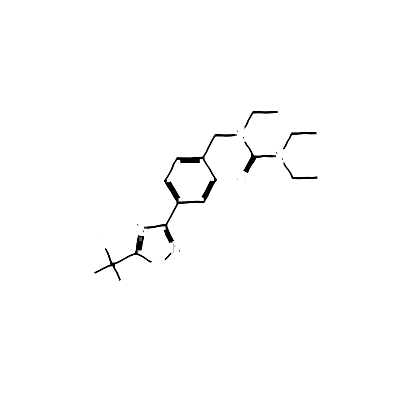 CCN(CC)C(=O)N(CC)Cc1ccc(-c2noc(C(F)(F)F)n2)cc1